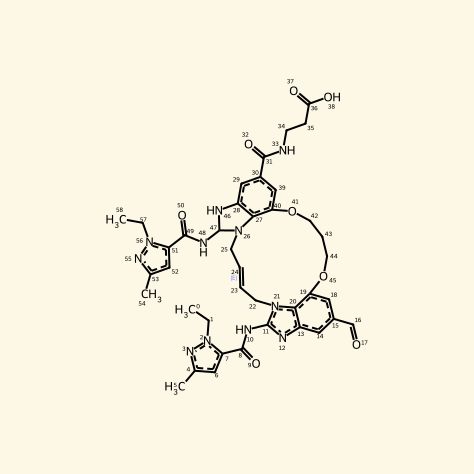 CCn1nc(C)cc1C(=O)Nc1nc2cc(C=O)cc3c2n1C/C=C/CN1c2c(cc(C(=O)NCCC(=O)O)cc2OCCCO3)NC1NC(=O)c1cc(C)nn1CC